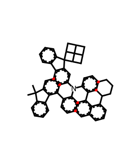 CC1(C)c2ccccc2-c2c(-c3ccccc3N(c3ccc4c(c3)C3(c5ccccc5-4)C4CC5CC6CC3C564)c3ccccc3-c3cccc4cccc(C5CCCCC5)c34)cccc21